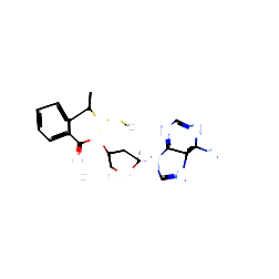 CCSSC(C)c1ccccc1C(=O)OC1C[C@H](n2cnc3c(N)ncnc32)O[C@@H]1CC